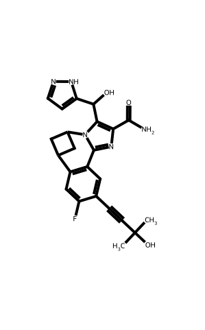 CC(C)(O)C#Cc1cc2c(cc1F)C1CC(C1)n1c-2nc(C(N)=O)c1C(O)c1ccn[nH]1